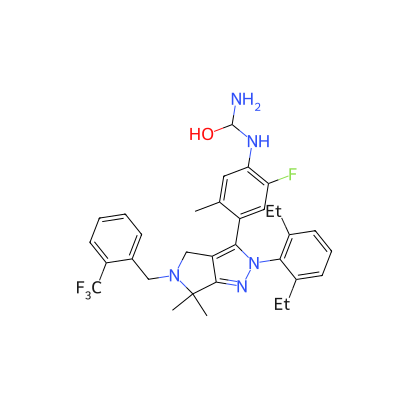 CCc1cccc(CC)c1-n1nc2c(c1-c1cc(F)c(NC(N)O)cc1C)CN(Cc1ccccc1C(F)(F)F)C2(C)C